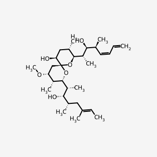 C=C/C=C\[C@H](C)[C@H](O)[C@H](C)[C@H]1O[C@@]2(C[C@@H](OC)[C@@H](C)[C@@H]([C@H](C)[C@@H](O)[C@@H](C)C/C(C)=C/C)O2)[C@@H](O)C[C@@H]1C